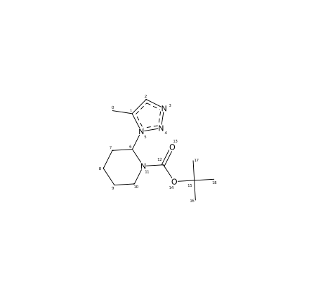 Cc1cnnn1C1CCCCN1C(=O)OC(C)(C)C